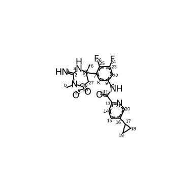 CN1C(=N)N[C@](C)(c2cc(NC(=O)c3ccc(C4CC4)cn3)cc(F)c2F)CS1(=O)=O